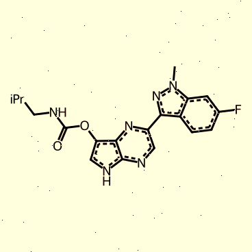 CC(C)CNC(=O)Oc1c[nH]c2ncc(-c3nn(C)c4cc(F)ccc34)nc12